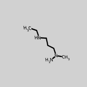 CCNCCCN(C)N